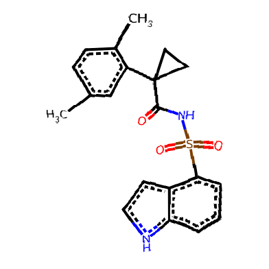 Cc1ccc(C)c(C2(C(=O)NS(=O)(=O)c3cccc4[nH]ccc34)CC2)c1